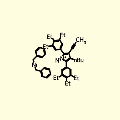 CC#CC1=C(c2cc(CC)c(CC)c(CC)c2)[N+](=[N-])C(c2cc(CC)c(CC)c(CC)c2)=C1CCCC.c1ccc([CH2][Ni][CH2]c2ccccc2)cc1